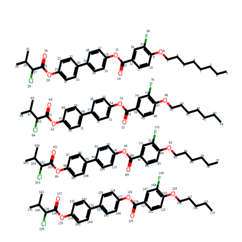 CCCCCCCCOc1ccc(C(=O)Oc2ccc(-c3ccc(OC(=O)C(Cl)C(C)C)cc3)cc2)cc1F.CCCCCCCOc1ccc(C(=O)Oc2ccc(-c3ccc(OC(=O)C(Cl)C(C)C)cc3)cc2)cc1F.CCCCCCOc1ccc(C(=O)Oc2ccc(-c3ccc(OC(=O)C(Cl)C(C)C)cc3)cc2)cc1F.CCCCCOc1ccc(C(=O)Oc2ccc(-c3ccc(OC(=O)C(Cl)C(C)C)cc3)cc2)cc1F